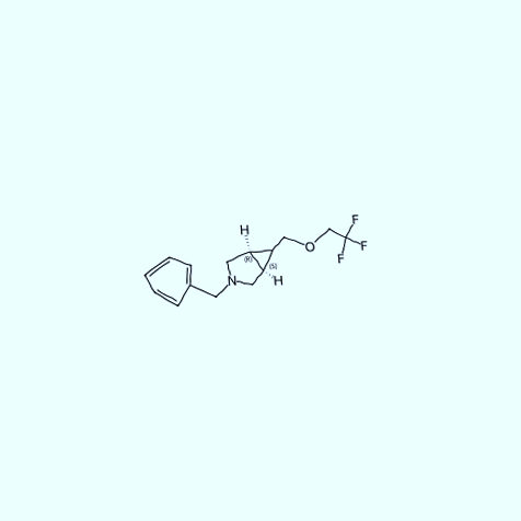 FC(F)(F)COCC1[C@H]2CN(Cc3ccccc3)C[C@@H]12